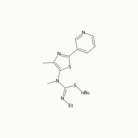 CCCCS/C(=N\CC)N(C)c1sc(-c2cccnc2)nc1C